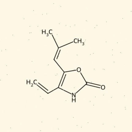 C=Cc1[nH]c(=O)oc1C=C(C)C